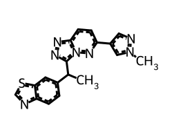 CC(c1ccc2ncsc2c1)c1nnc2ccc(-c3cnn(C)c3)nn12